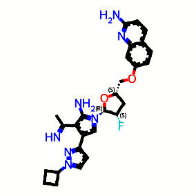 CC(=N)c1c(-c2ccn(C3CCC3)n2)cn([C@@H]2O[C@H](COc3ccc4ccc(N)nc4c3)C[C@@H]2F)c1N